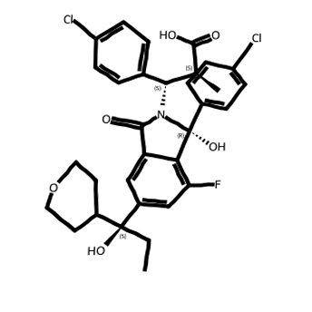 CC[C@@](O)(c1cc(F)c2c(c1)C(=O)N([C@H](c1ccc(Cl)cc1)[C@H](C)C(=O)O)[C@@]2(O)c1ccc(Cl)cc1)C1CCOCC1